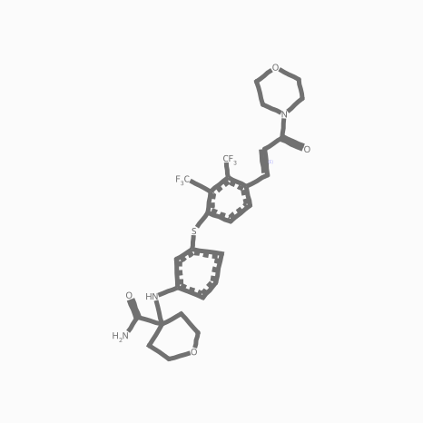 NC(=O)C1(Nc2cccc(Sc3ccc(/C=C/C(=O)N4CCOCC4)c(C(F)(F)F)c3C(F)(F)F)c2)CCOCC1